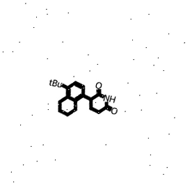 CC(C)(C)c1ccc(C2CCC(=O)NC2=O)c2c1CCCC2